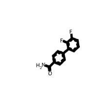 NC(=O)c1ccc(-c2cccc(F)c2F)cc1